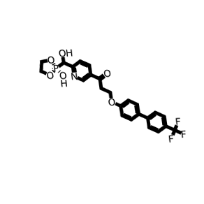 O=C(CCOc1ccc(-c2ccc(C(F)(F)F)cc2)cc1)c1ccc(C(O)[P]2(O)OCCO2)nc1